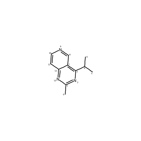 Cc1nc(C(C)C)c2cnccc2n1